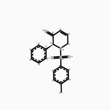 Cc1ccc(S(=O)(=O)N2CC=CC(=O)[C@@H]2c2ccccc2)cc1